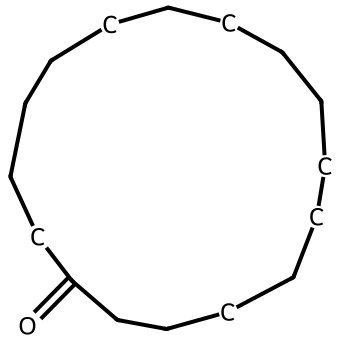 O=C1CCCCCCCCCCCCCCC1